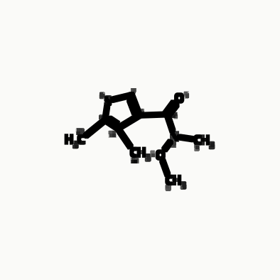 CON(C)C(=O)c1csc(C)c1C